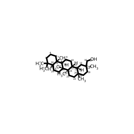 CC1(C)CCC[C@]2(C)[C@H]3CC[C@@H]4[C@@H]5C[C@@](C)(CO)CC[C@]5(C)CC[C@@]4(C)[C@]3(C)CC[C@@H]12